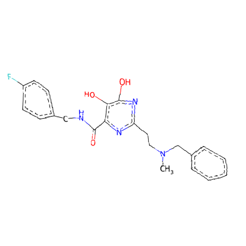 CN(CCc1nc(O)c(O)c(C(=O)NCc2ccc(F)cc2)n1)Cc1ccccc1